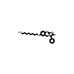 O=C1NC2=Nc3ccc(OCCCCCCCCO)cc3CN2C1c1ccccc1